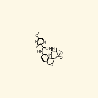 COc1cnc(C(=O)Nc2ccc3c(c2)[C@]2(COC3)CS(=O)(=O)C(C)(C)C(=N)N2)c(C)n1